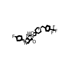 O=c1c2cnn(-c3ccc(F)cc3)c2ncn1CC1(O)CCN(Cc2ccc(C(F)(F)F)cc2)CC1